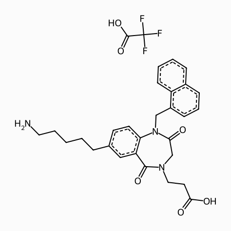 NCCCCCc1ccc2c(c1)C(=O)N(CCC(=O)O)CC(=O)N2Cc1cccc2ccccc12.O=C(O)C(F)(F)F